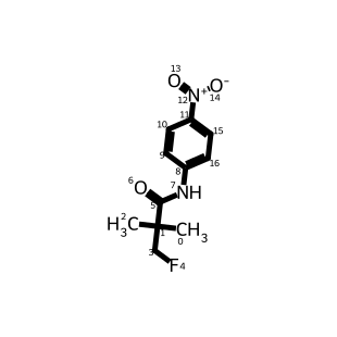 CC(C)(CF)C(=O)Nc1ccc([N+](=O)[O-])cc1